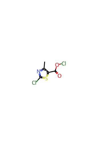 Cc1nc(Cl)sc1C(=O)OCl